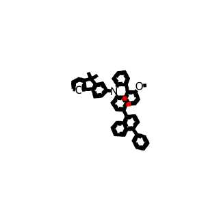 COc1ccccc1-c1ccccc1N(c1ccc(-c2ccc(-c3ccccc3)c3ccccc23)cc1)c1ccc2c(c1)C(C)(C)c1ccccc1-2